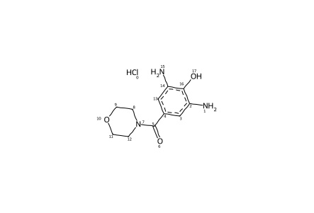 Cl.Nc1cc(C(=O)N2CCOCC2)cc(N)c1O